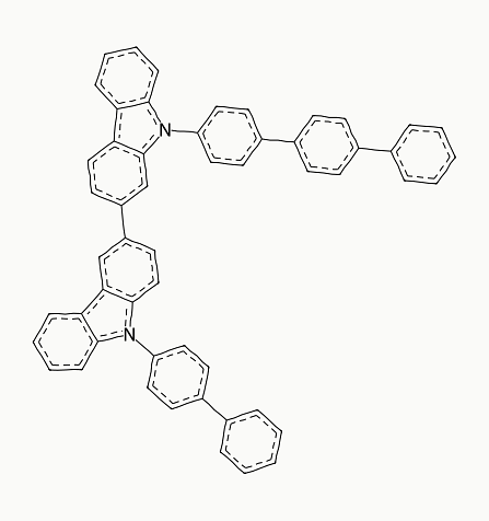 c1ccc(-c2ccc(-c3ccc(-n4c5ccccc5c5ccc(-c6ccc7c(c6)c6ccccc6n7-c6ccc(-c7ccccc7)cc6)cc54)cc3)cc2)cc1